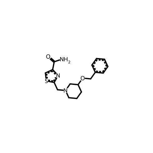 NC(=O)c1csc(CN2CCCC(OCc3ccccc3)C2)n1